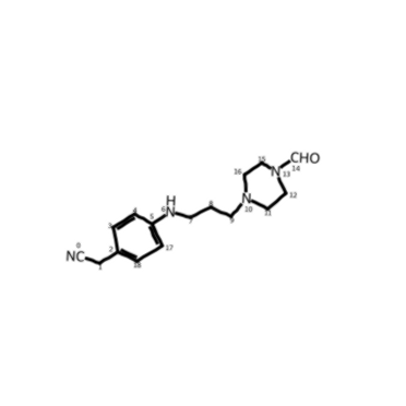 N#CCc1ccc(NCCCN2CCN(C=O)CC2)cc1